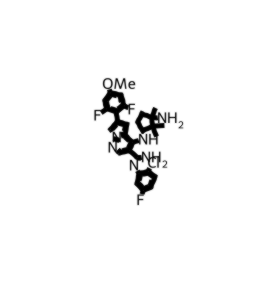 COc1cc(F)c(-c2cc3c(N[C@@H]4CCC(C)(N)C4(C)C)c(/C(N)=N/c4cc(F)ccc4Cl)cnn3c2)c(F)c1